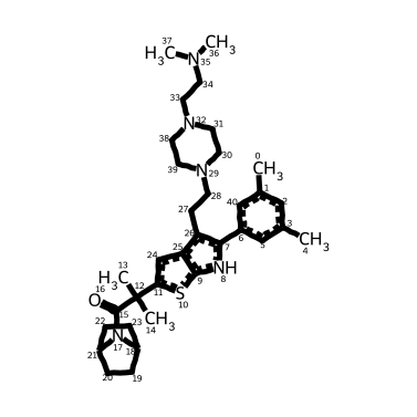 Cc1cc(C)cc(-c2[nH]c3sc(C(C)(C)C(=O)N4C5CCC4CC5)cc3c2CCN2CCN(CCN(C)C)CC2)c1